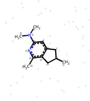 [CH2]C1Cc2cc(N(C)C)nc(C)c2C1